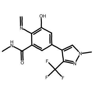 C=Nc1c(O)cc(-c2cn(C)nc2C(F)(F)F)cc1C(=O)NC